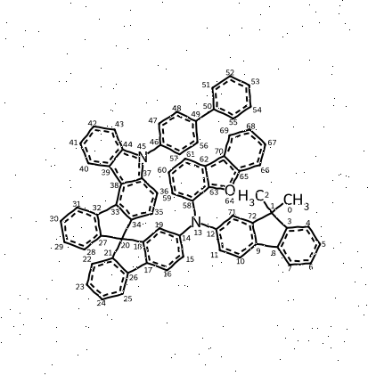 CC1(C)c2ccccc2-c2ccc(N(c3ccc4c(c3)C3(c5ccccc5-4)c4ccccc4-c4c3ccc3c4c4ccccc4n3-c3ccc(-c4ccccc4)cc3)c3cccc4c3oc3ccccc34)cc21